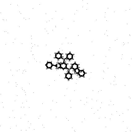 c1ccc(-c2nc3cc(N(c4ccccc4)c4cccc5c4oc4ccccc45)cc(N(c4ccccc4)c4ccccc4)c3o2)cc1